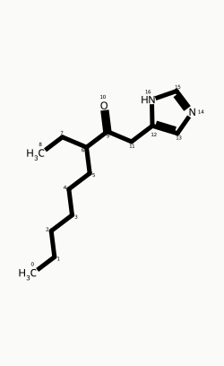 CCCCCCC(CC)C(=O)Cc1cnc[nH]1